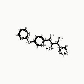 OC(C(F)c1ccc(Oc2ncccn2)cn1)C(F)n1cnnn1